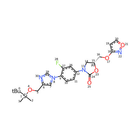 CC(C)(C)[Si](C)(C)OCc1cn(-c2ccc(N3C[C@H](COc4ccon4)OC3=O)cc2F)cn1